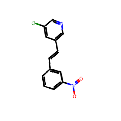 O=[N+]([O-])c1cccc(C=Cc2cncc(Cl)c2)c1